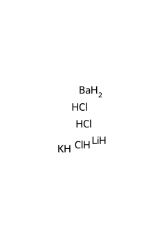 Cl.Cl.Cl.[BaH2].[KH].[LiH]